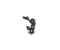 CNc1ncc2ncn(Cc3c(F)cccc3F)c2n1